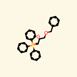 O=C(C=P(c1ccccc1)(c1ccccc1)c1ccccc1)COCc1ccccc1